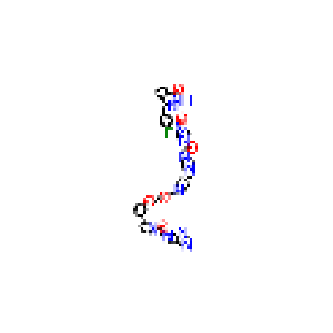 O=C(CN1CCN(CC2CCN(CCOCCOc3cccc([C@@H]4CCCN(C(=O)CN5Cc6cncnc6C5)C4)c3)CC2)CC1)N1CCN(C(=O)c2cc(Cc3n[nH]c(=O)c4ccccc34)ccc2F)CC1